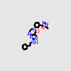 Cc1nnc(-c2cccc(N3CCN(C)c4nc(NCCc5ccccc5)ncc4C3=O)c2)o1